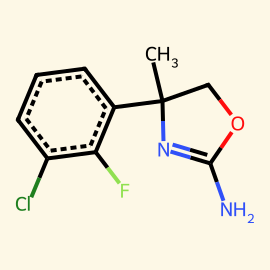 CC1(c2cccc(Cl)c2F)COC(N)=N1